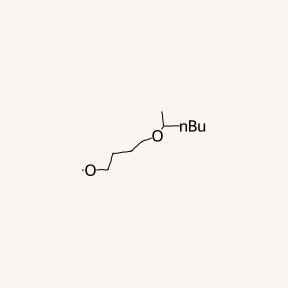 CCCCC(C)OCCCC[O]